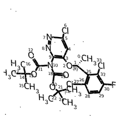 C[C@@H](Oc1cc(Cl)nnc1N(C(=O)OC(C)(C)C)C(=O)OC(C)(C)C)c1c(Cl)ccc(F)c1Cl